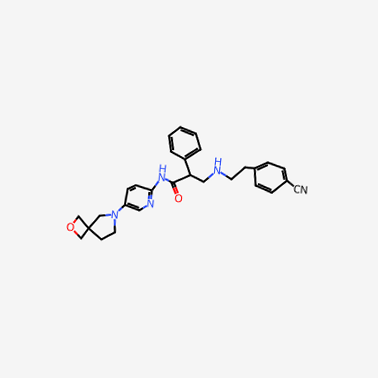 N#Cc1ccc(CCNCC(C(=O)Nc2ccc(N3CCC4(COC4)C3)cn2)c2ccccc2)cc1